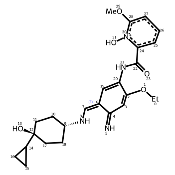 CCOC1=CC(=N)/C(=C\N[C@H]2CC[C@@](O)(C3CC3)CC2)C=C1NC(=O)c1cccc(OC)[n+]1O